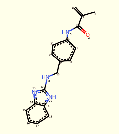 C=C(C)C(=O)Nc1ccc(CNc2nc3ccccc3[nH]2)cc1